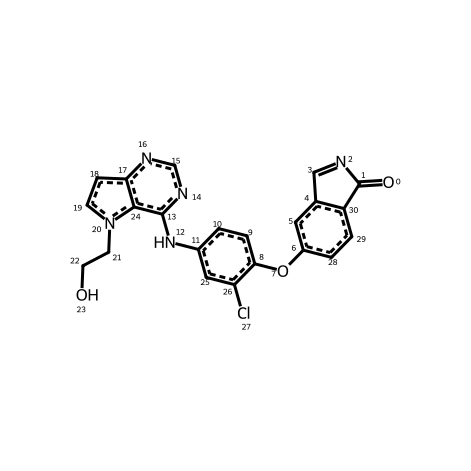 O=C1N=Cc2cc(Oc3ccc(Nc4ncnc5ccn(CCO)c45)cc3Cl)ccc21